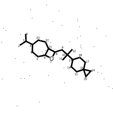 CC(C)C1CCC2OC(CC(C)(C)C3CCC4(CC3)CC4)C2CC1